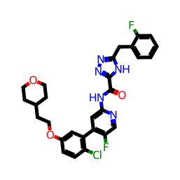 O=C(Nc1cc(-c2cc(OCCC3CCOCC3)ccc2Cl)c(F)cn1)c1nnc(Cc2ccccc2F)[nH]1